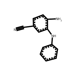 N#Cc1ccc(N)c(Nc2ccccc2)c1